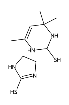 CC1=CC(C)(C)NC(S)N1.SC1=NCCN1